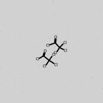 O=C(Cl)C(Cl)(Cl)Cl.O=C(Cl)C(Cl)(Cl)Cl